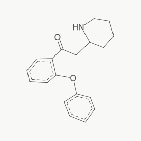 O=C(CC1CCCCN1)c1ccccc1Oc1ccccc1